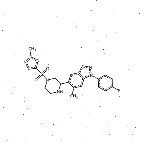 Cc1cc2c(cnn2-c2ccc(F)cc2)cc1C1CN(S(=O)(=O)c2cnn(C)n2)CCN1